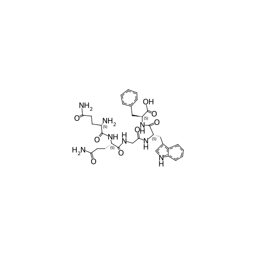 NC(=O)CC[C@H](NC(=O)[C@@H](N)CCC(N)=O)C(=O)NCC(=O)N[C@@H](Cc1c[nH]c2ccccc12)C(=O)N[C@@H](Cc1ccccc1)C(=O)O